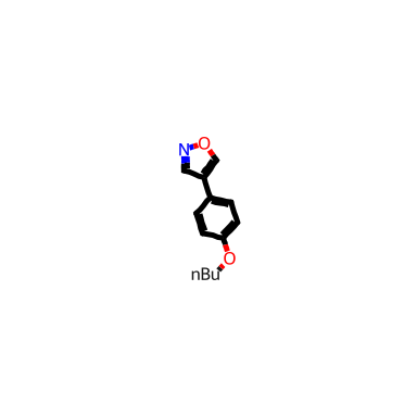 CCCCOc1ccc(-c2cnoc2)cc1